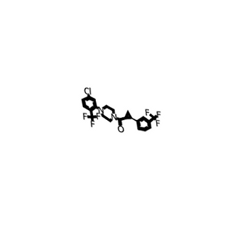 O=C(C1C[C@H]1c1cccc(C(F)(F)F)c1)N1CCN(c2cc(Cl)ccc2C(F)(F)F)CC1